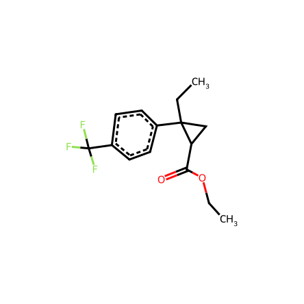 CCOC(=O)C1CC1(CC)c1ccc(C(F)(F)F)cc1